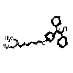 CCN(CC)CCCCCCOc1ccc(/C(=C(/Cl)c2ccccc2)c2ccccc2)cc1